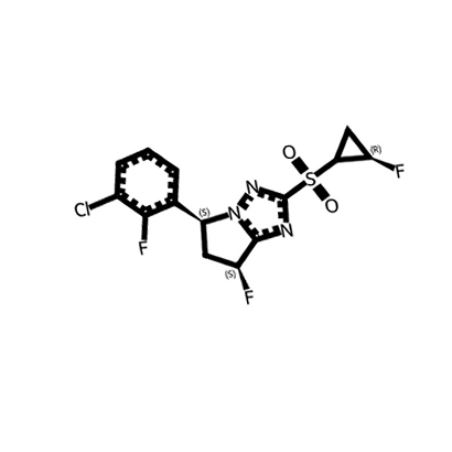 O=S(=O)(c1nc2n(n1)[C@H](c1cccc(Cl)c1F)C[C@@H]2F)C1C[C@H]1F